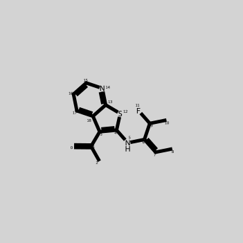 C=C(C)c1c(N/C(=C/C)C(C)F)sc2ncccc12